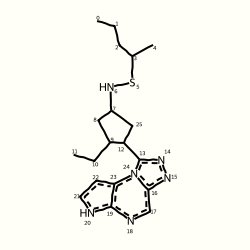 CCCC(C)SNC1CC(CC)C(c2nnc3cnc4[nH]ccc4n23)C1